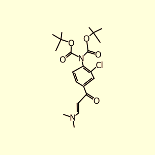 CN(C)/C=C/C(=O)c1ccc(N(C(=O)OC(C)(C)C)C(=O)OC(C)(C)C)c(Cl)c1